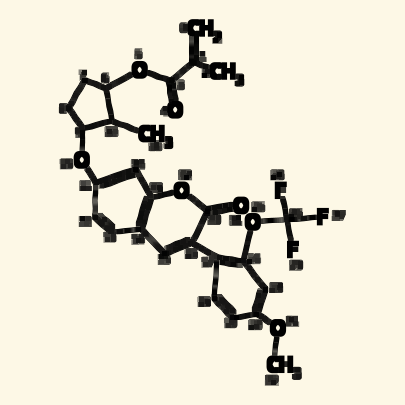 C=C(C)C(=O)OC1CCC(Oc2ccc3cc(-c4ccc(OC)cc4OC(F)(F)F)c(=O)oc3c2)C1C